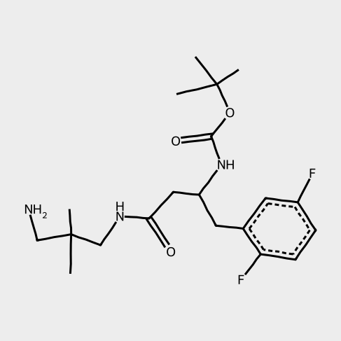 CC(C)(CN)CNC(=O)CC(Cc1cc(F)ccc1F)NC(=O)OC(C)(C)C